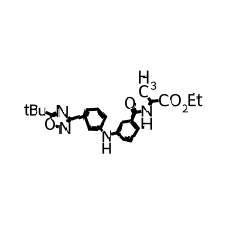 CCOC(=O)C(C)NC(=O)c1cccc(Nc2cccc(-c3noc(C(C)(C)C)n3)c2)c1